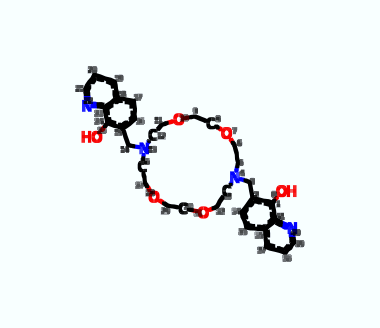 Oc1c(CN2CCOCCOCCN(Cc3ccc4cccnc4c3O)CCOCCOCC2)ccc2cccnc12